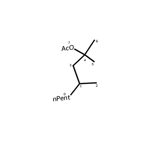 CCCCCC(C)CC(C)(C)OC(C)=O